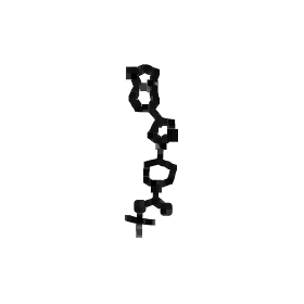 CC(C)(C)OC(=O)N1CCC(n2cc(-c3ccc4nccn4c3)cn2)CC1